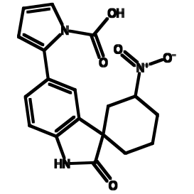 O=C(O)n1cccc1-c1ccc2c(c1)C1(CCCC([N+](=O)[O-])C1)C(=O)N2